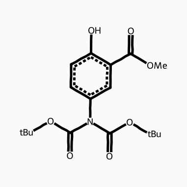 COC(=O)c1cc(N(C(=O)OC(C)(C)C)C(=O)OC(C)(C)C)ccc1O